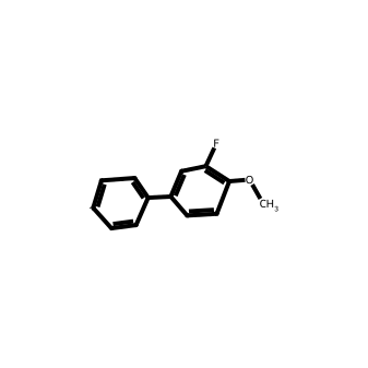 COc1ccc(-c2cc[c]cc2)cc1F